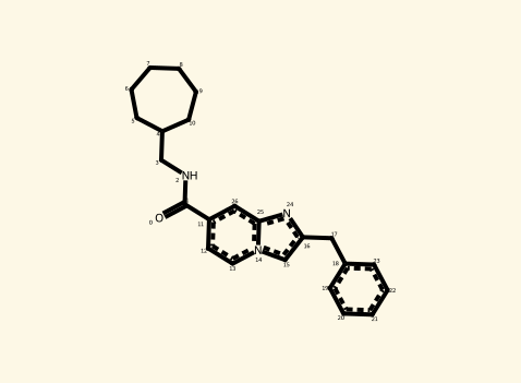 O=C(NCC1CCCCCC1)c1ccn2cc(Cc3ccccc3)nc2c1